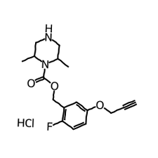 C#CCOc1ccc(F)c(COC(=O)N2C(C)CNCC2C)c1.Cl